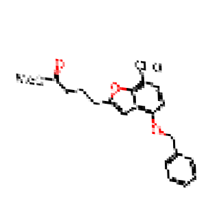 COC(=O)CCCc1cc2c(OCc3ccccc3)ccc(C=O)c2o1